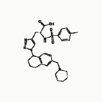 Cc1ccc(S(=O)(=O)N[C@H](Cc2cn(C3CCCc4cc(CN5CCCCC5)ccc43)nn2)C(=O)O)cc1